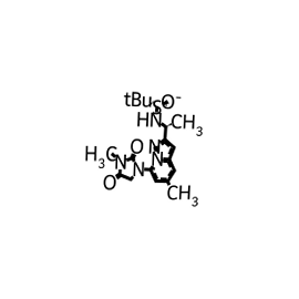 Cc1cc(N2CC(=O)N(C)C2=O)n2nc([C@@H](C)N[S@+]([O-])C(C)(C)C)cc2c1